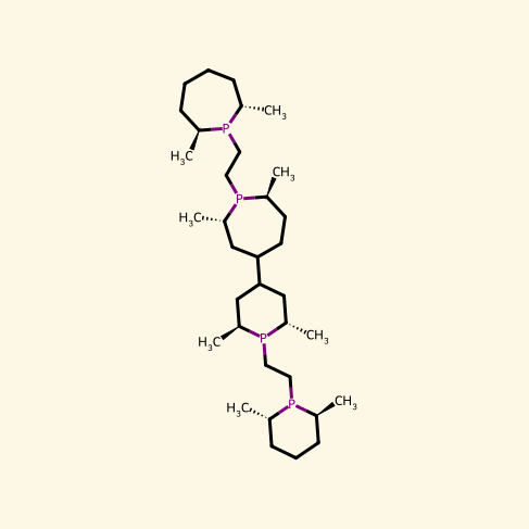 C[C@H]1CCCC[C@H](C)P1CCP1[C@@H](C)CCC(C2C[C@H](C)P(CCP3[C@@H](C)CCC[C@@H]3C)[C@@H](C)C2)C[C@@H]1C